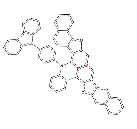 c1ccc(N(c2ccc(-n3c4ccccc4c4ccccc43)cc2)c2cccc3oc4c5ccccc5ccc4c23)c(-c2cccc3c2oc2cc4ccccc4cc23)c1